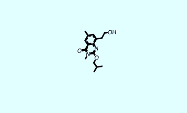 Cc1cc(CCO)c2nc(OCC(C)C)n(C)c(=O)c2c1